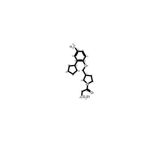 CCOC(=O)CC(=O)N1CCC(COc2ccc(C)cc2C2CCCC2)C1